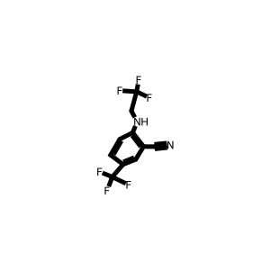 N#Cc1cc(C(F)(F)F)ccc1NCC(F)(F)F